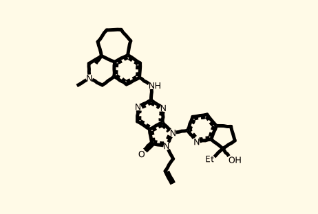 C=CCn1c(=O)c2cnc(Nc3cc4c5c(c3)CN(C)CC5(C)CCCC4)nc2n1-c1ccc2c(n1)C(O)(CC)CC2